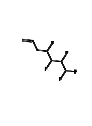 C=CCC(F)C(F)C(F)C(F)F